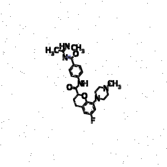 CO/C(=N\C(C)=N)c1ccc(NC(=O)C2CCc3cc(F)cc(N4CCN(C)CC4)c3O2)cc1